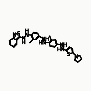 Cc1cc(NNc2ccc(N3CCCC3)s2)ccc1NNc1ccc(NNc2snc3ccccc23)c(C)c1